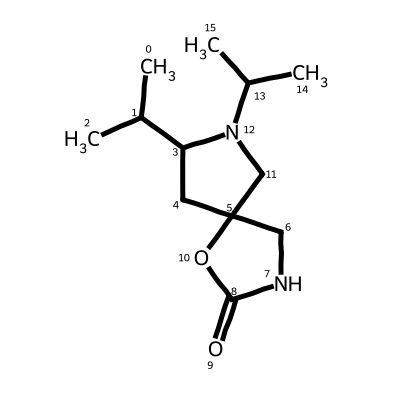 CC(C)C1CC2(CNC(=O)O2)CN1C(C)C